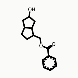 O=C(OCC1CCC2CC(O)CC12)c1ccccc1